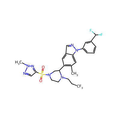 Cc1cc2c(cnn2-c2cccc(C(F)F)c2)cc1C1CN(S(=O)(=O)c2cnn(C)n2)CCN1CCC(F)(F)F